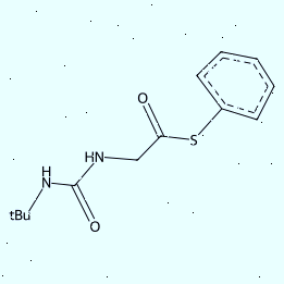 CC(C)(C)NC(=O)NCC(=O)Sc1ccccc1